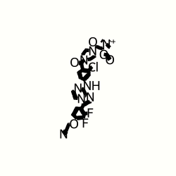 C[N+](C)(C)C(OC=O)C(=O)N1CCN(C(=O)c2ccc(Nc3nccn4c(-c5ccc(OCC#N)c(F)c5F)cnc34)cc2Cl)CC1